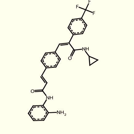 Nc1ccccc1NC(=O)/C=C/c1ccc(C=C(C(=O)NC2CC2)c2ccc(C(F)(F)F)cc2)cc1